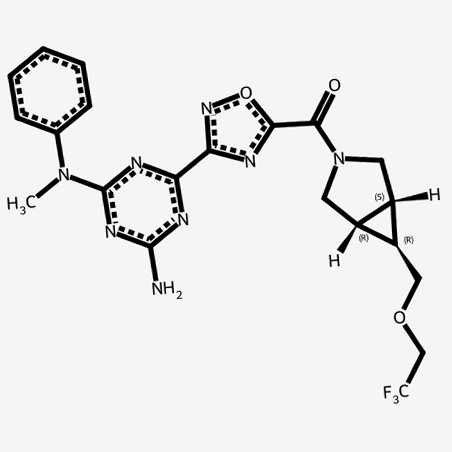 CN(c1ccccc1)c1nc(N)nc(-c2noc(C(=O)N3C[C@@H]4[C@@H](COCC(F)(F)F)[C@@H]4C3)n2)n1